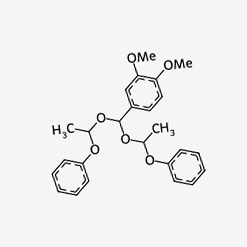 COc1ccc(C(OC(C)Oc2ccccc2)OC(C)Oc2ccccc2)cc1OC